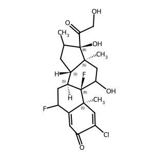 CC1C[C@H]2[C@@H]3CC(F)C4=CC(=O)C(Cl)=C[C@]4(C)[C@@]3(F)C(O)C[C@]2(C)[C@@]1(O)C(=O)CO